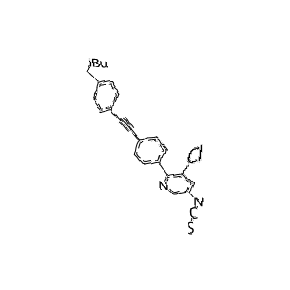 CCC(C)Cc1ccc(C#Cc2ccc(-c3ncc(N=C=S)cc3Cl)cc2)cc1